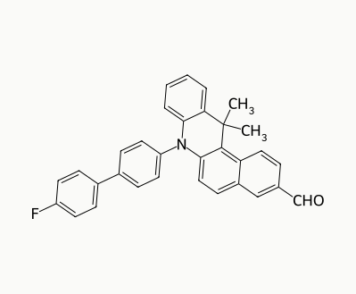 CC1(C)c2ccccc2N(c2ccc(-c3ccc(F)cc3)cc2)c2ccc3cc(C=O)ccc3c21